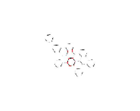 c1ccc(-c2ccc(N(c3ccc(-c4cccc5c4c(-c4ccccc4)c(-c4ccccc4)c4ccccc45)cc3)c3ccccc3-c3ccccc3)c(-c3ccccc3)c2)cc1